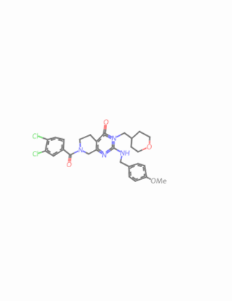 COc1ccc(CNc2nc3c(c(=O)n2CC2CCOCC2)CCN(C(=O)c2ccc(Cl)c(Cl)c2)C3)cc1